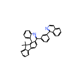 CC1(C)c2ccccc2-c2ccc3c(-c4cccc(-c5nccc6ccccc56)c4)nc4ccccc4c3c21